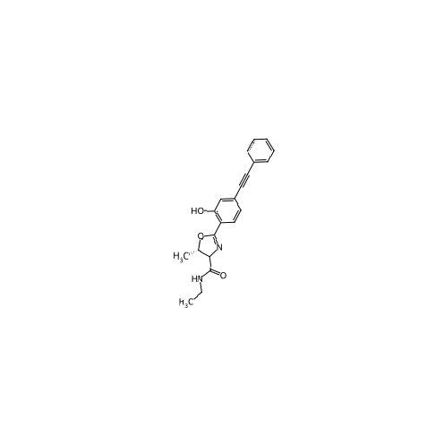 CCNC(=O)C1N=C(c2ccc(C#Cc3ccccc3)cc2O)O[C@H]1C